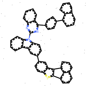 c1ccc2c(-c3ccc(-c4nc(-n5c6ccccc6c6cc(-c7ccc8sc9c(c8c7)-c7cccc8cccc-9c78)ccc65)nc5ccccc45)cc3)cccc2c1